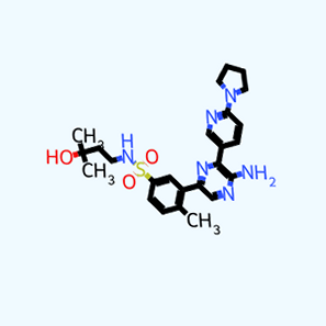 Cc1ccc(S(=O)(=O)NCCC(C)(C)O)cc1-c1cnc(N)c(-c2ccc(N3CCCC3)nc2)n1